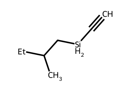 C#C[SiH2]CC(C)CC